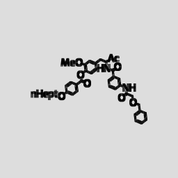 CCCCCCCOc1ccc(C(=O)Oc2ccc(CC(NC(=O)c3cccc(NC(=O)COCc4ccccc4)c3)C(C)=O)cc2OC)cc1